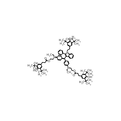 CCN(CCOC(=O)CCc1cc(C(C)(C)C)c(O)c(C(C)(C)C)c1)c1ccc(C(=C2C=CC(=[N+](CC)CCOC(=O)CCc3cc(C(C)(C)C)c(O)c(C(C)(C)C)c3)C=C2)c2c(-c3ccccc3)n(CCc3cc(C(C)(C)C)c(O)c(C(C)(C)C)c3)c3ccccc23)cc1